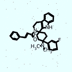 CN(C)C1(c2cccc(F)c2)CCC2(c3[nH]c4ccccc4c3CCN2C(=O)/C=C/c2ccccc2)C(F)C1